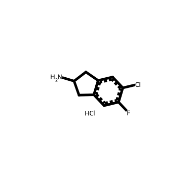 Cl.NC1Cc2cc(F)c(Cl)cc2C1